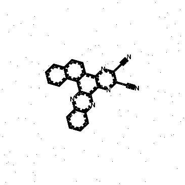 N#Cc1nc2c3ccc4ccccc4c3c3nc4ccccc4nc3c2nc1C#N